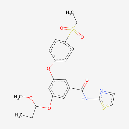 CCC(OC)Oc1cc(Oc2ccc(S(=O)(=O)CC)cc2)cc(C(=O)Nc2nccs2)c1